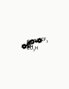 O=C(O)NC(CS(=O)(=O)N1CCC(OCc2ccc(C(F)(F)F)cc2)CC1)c1ccccc1